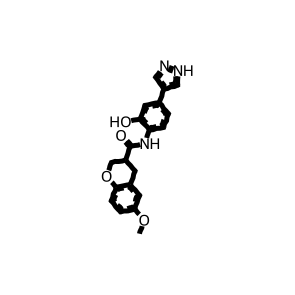 COc1ccc2c(c1)CC(C(=O)Nc1ccc(-c3cn[nH]c3)cc1O)CO2